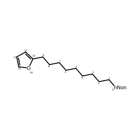 CCCCCCCCCCCCCCCCCCc1ccco1